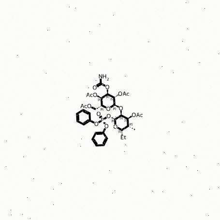 CC[C@@H]1O[C@H](OP(=O)(Oc2ccccc2)Oc2ccccc2)[C@@H](O[C@H]2O[C@H](COC(C)=O)[C@@H](OC(C)=O)[C@@H](OC(N)=O)[C@@H]2OC(C)=O)[C@@H](OC(C)=O)[C@@H]1C